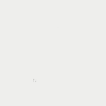 CC(C)(C)Cc1ccc2ncc3ccccc3c2c1